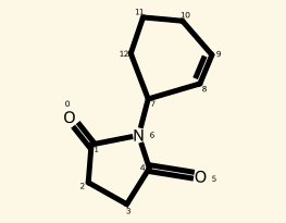 O=C1CCC(=O)N1C1C=CCCC1